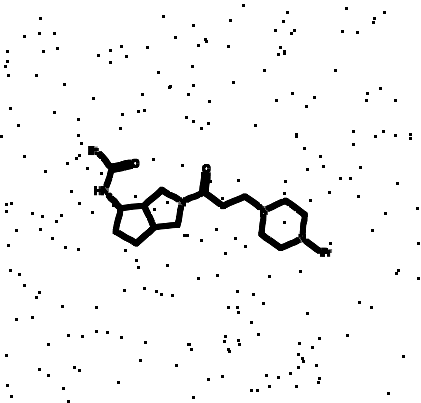 CCC(=O)NC1CCC2CN(C(=O)CCN3CCN(C(C)C)CC3)CC21